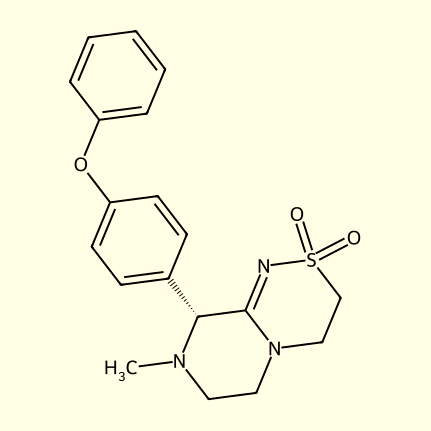 CN1CCN2CCS(=O)(=O)N=C2[C@H]1c1ccc(Oc2ccccc2)cc1